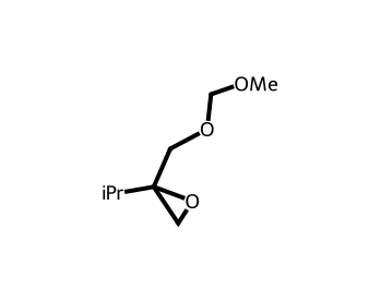 COCOCC1(C(C)C)CO1